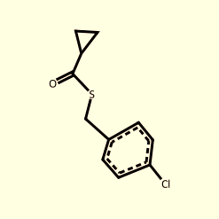 O=C(SCc1ccc(Cl)cc1)C1CC1